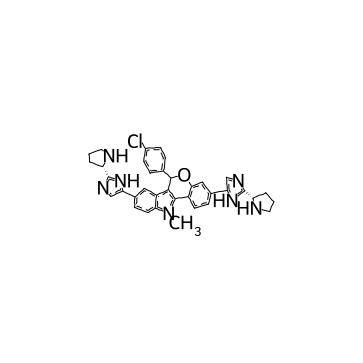 Cn1c2c(c3cc(-c4cnc([C@@H]5CCCN5)[nH]4)ccc31)C(c1ccc(Cl)cc1)Oc1cc(-c3cnc([C@@H]4CCCN4)[nH]3)ccc1-2